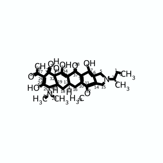 CC[C@@H](C)N1Cc2c(O)c3c(c(OC)c2C1)C[C@H]1C[C@H]2[C@H](N(C)C)C(O)=C(C(C)=O)C(=O)[C@@]2(O)C(O)=C1C3=O